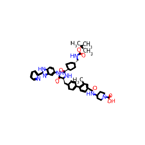 Cc1cc(C(=O)NC2CCN(C(=O)O)CC2)ccc1-c1ccc(C[C@H](NC(=O)[C@H]2CC[C@H](CNC(=O)OC(C)(C)C)CC2)C(=O)Nc2ccc3[nH]c(-c4ccccn4)nc3c2)cc1